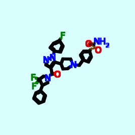 NS(=O)(=O)c1ccc(CN2CCC(c3c(C(=O)N4CC(c5ccccc5)C(F)(F)C4)cnn3-c3ccc(F)cc3)CC2)cc1